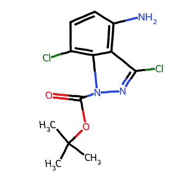 CC(C)(C)OC(=O)n1nc(Cl)c2c(N)ccc(Cl)c21